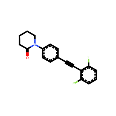 O=C1CCCCN1c1ccc(C#Cc2c(F)cccc2F)cc1